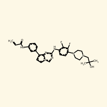 C=CC(=O)Nc1cccc(-c2ccn3cnc(Nc4ccc(N5CCN(CC(C)(C)O)CC5)c(F)c4F)nc23)c1